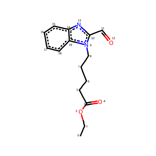 CCOC(=O)CCCCn1c(C=O)nc2ccccc21